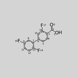 O=C(O)c1ccc(-c2cc(F)ccc2F)cc1F